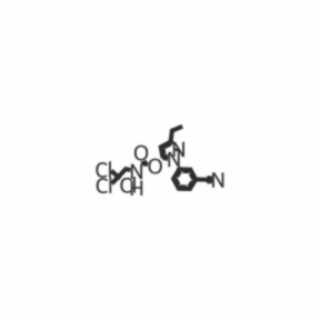 CCc1cc(OC(=O)NCC(Cl)(Cl)Cl)n(-c2cccc(C#N)c2)n1